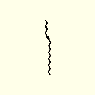 [CH2]CC=CCC#CCCCCCCCCCCC